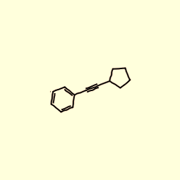 C(#CC1CCCC1)c1c[c]ccc1